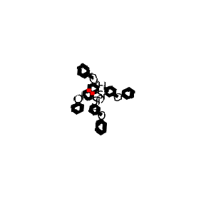 c1ccc(Oc2cccc([SiH](O[SiH](c3cccc(Oc4ccccc4)c3)c3cccc(Oc4ccccc4)c3)c3cccc(Oc4ccccc4)c3)c2)cc1